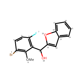 COc1c(Br)ccc(F)c1C(O)c1cc2ccccc2o1